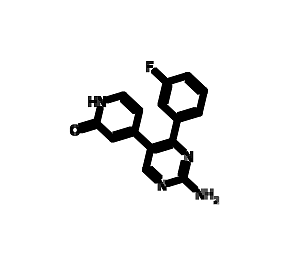 Nc1ncc(-c2cc[nH]c(=O)c2)c(-c2cccc(F)c2)n1